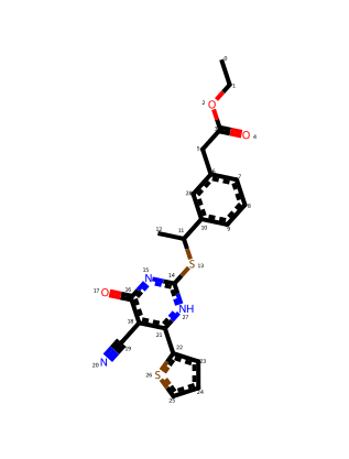 CCOC(=O)Cc1cccc(C(C)Sc2nc(=O)c(C#N)c(-c3cccs3)[nH]2)c1